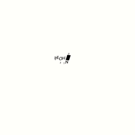 C#N.I.[OH]